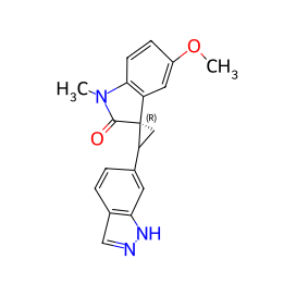 COc1ccc2c(c1)[C@]1(CC1c1ccc3cn[nH]c3c1)C(=O)N2C